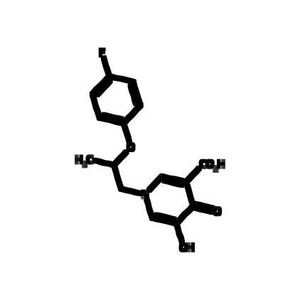 CC(Cn1cc(O)c(=O)c(C(=O)O)c1)Oc1ccc(F)cc1